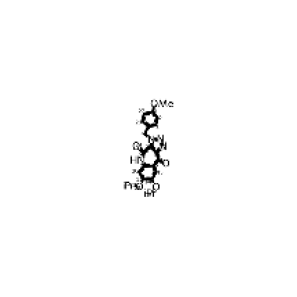 COc1ccc(Cn2nnc3c(=O)c4cc(OC(C)C)c(OC(C)C)cc4[nH]c(=O)c32)cc1